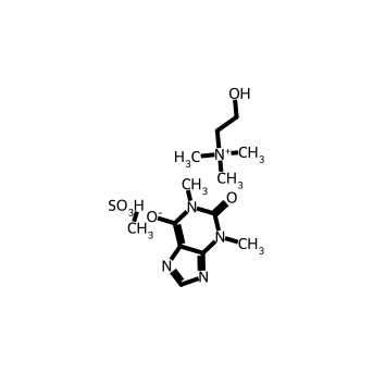 CS(=O)(=O)O.C[N+](C)(C)CCO.Cn1c2ncnc-2c([O-])n(C)c1=O